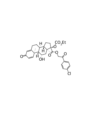 CCOC(=O)O[C@]1(C(=O)OCC(=O)c2ccc(Cl)cc2)CC[C@H]2[C@@H]3CCC4=CC(=O)C=C[C@]4(C)[C@H]3[C@@H](O)C[C@@]21C